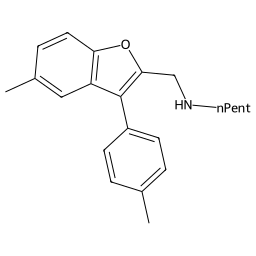 CCCCCNCc1oc2ccc(C)cc2c1-c1ccc(C)cc1